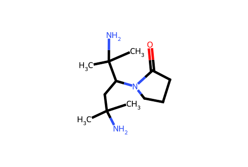 CC(C)(N)CC(N1CCCC1=O)C(C)(C)N